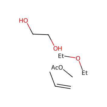 C=CC.CCOCC.COC(C)=O.OCCO